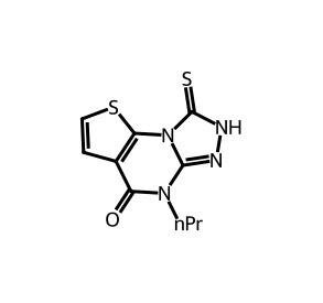 CCCn1c(=O)c2ccsc2n2c(=S)[nH]nc12